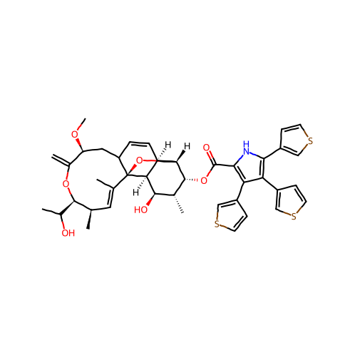 C=C1O[C@H](C(C)O)[C@H](C)/C=C(\C)[C@]23O[C@@H]4[C@H](C=CC2C[C@@H]1OC)[C@H]3[C@H](O)[C@@H](C)[C@H]4OC(=O)c1[nH]c(-c2ccsc2)c(-c2ccsc2)c1-c1ccsc1